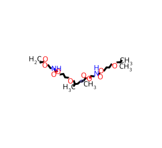 C=CC(=O)OCCNC(=O)OCCCCOCC(C)C/C=C(\C)C(=O)OCCNC(=O)OCCCCOCC(C)C